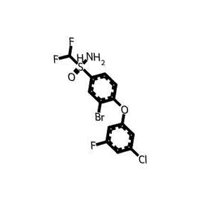 N[SH](=O)(c1ccc(Oc2cc(F)cc(Cl)c2)c(Br)c1)C(F)F